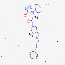 NC(=O)n1c(C(=O)N2CC3CN(CC[CH]c4ccccc4)C[C@H]3C2)cc2ccccc21